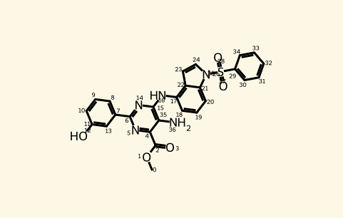 COC(=O)c1nc(-c2cccc(O)c2)nc(Nc2cccc3c2ccn3S(=O)(=O)c2ccccc2)c1N